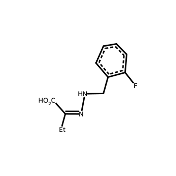 CCC(=NNCc1ccccc1F)C(=O)O